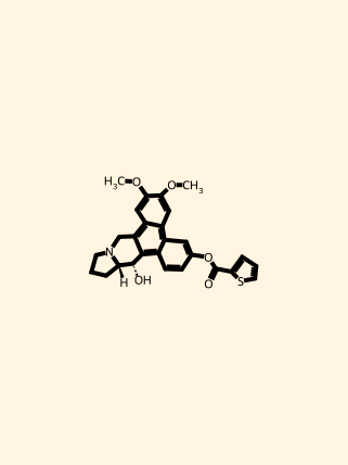 COc1cc2c3c(c4ccc(OC(=O)c5cccs5)cc4c2cc1OC)[C@H](O)[C@@H]1CCCN1C3